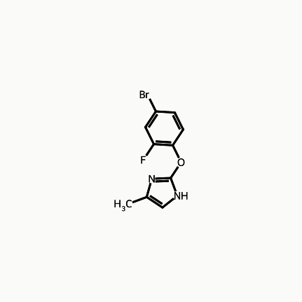 Cc1c[nH]c(Oc2ccc(Br)cc2F)n1